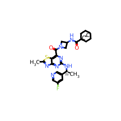 Cc1nc2nc(N[C@@H](C)c3cncc(F)c3)nc(C(=O)N3CC(NC(=O)C45CCC(CC4)CC5)C3)c2s1